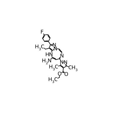 CCOC(=O)c1c(C)nn(-c2cc(N)[nH]c3c(CC)c(-c4ccc(F)cc4)nn3ccn2)c1C